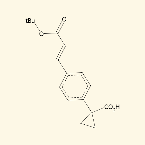 CC(C)(C)OC(=O)C=Cc1ccc(C2(C(=O)O)CC2)cc1